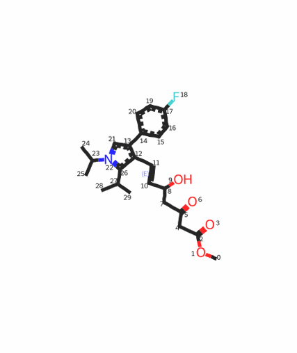 COC(=O)CC(=O)CC(O)/C=C/c1c(-c2ccc(F)cc2)cn(C(C)C)c1C(C)C